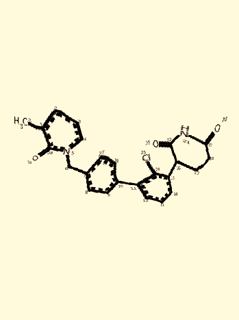 Cc1cccn(Cc2ccc(-c3cccc(C4CCC(=O)NC4=O)c3Cl)cc2)c1=O